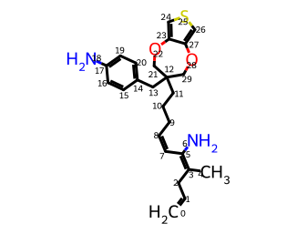 C=CC/C(C)=C(N)\C=C/CCCC1(Cc2ccc(N)cc2)COc2cscc2OC1